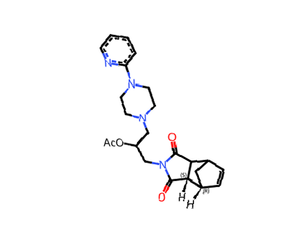 CC(=O)OC(CN1CCN(c2ccccn2)CC1)CN1C(=O)C2C3C=C[C@@H](C3)[C@@H]2C1=O